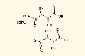 O.O=C(O)C(O)C(O)C(=O)O.O=C([O-])C(O)C(O)C(=O)[O-].[Ba+2]